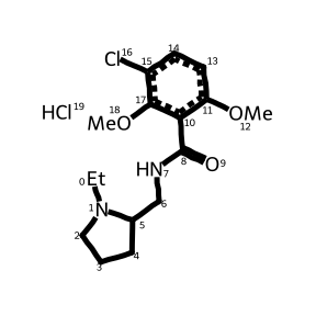 CCN1CCCC1CNC(=O)c1c(OC)ccc(Cl)c1OC.Cl